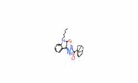 CCCCCCN1C(=O)/C(=N\NC(=O)C23CC4CC(CC(C4)C2)C3)c2ccccc21